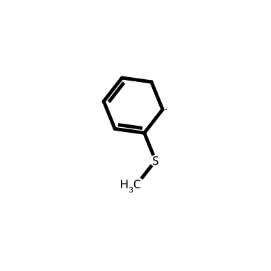 CSC1=CC=CC[CH]1